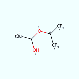 CC(C)(C)C(O)OC(C(F)(F)F)C(F)(F)F